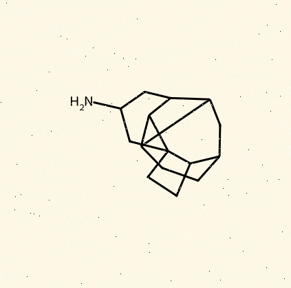 NC1CC2C3CC4CCC3C2C2(CCC42)C1